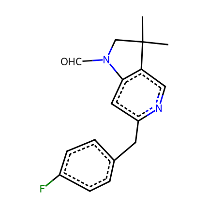 CC1(C)CN(C=O)c2cc(Cc3ccc(F)cc3)ncc21